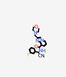 N#CC(NC(=O)c1cccn2cc(CN3CCOCC3)nc12)c1cccc(F)c1